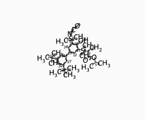 C=C(C(=O)OC(C)C)[Si](C)(C)c1cc(-c2cc(C(C)(C)C)cc(C(C)(C)C)c2)cc([Si](C)(C)N=C=O)c1O